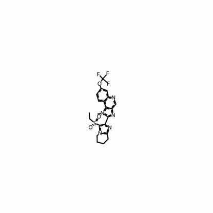 CCS(=O)(=O)c1c(-c2nc3cnc4cc(OC(F)(F)F)ccc4c3n2C)nc2n1CCCC2